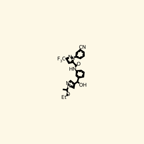 CCOC(C)n1cc(C(O)c2cccc(NC(=O)c3cc(C(F)(F)F)nn3-c3cccc(C#N)c3)c2)cn1